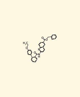 CCOc1ccc(-c2ccccc2C(=O)Nc2ccc3cc(C(=O)OCc4ccccc4)ccc3n2)cc1